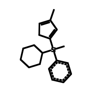 CC1=CCC([Si](C)(c2ccccc2)C2CCCCC2)=C1